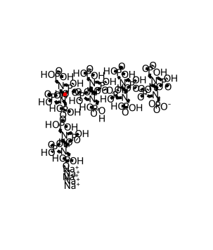 O=P(O)(O)CN(CCN(CP(=O)(O)O)CP(=O)(O)O)CP(=O)(O)O.O=P(O)(O)CN(CCN(CP(=O)(O)O)CP(=O)(O)O)CP(=O)(O)O.O=P(O)(O)CN(CCN(CP(=O)(O)O)CP(=O)(O)O)CP(=O)(O)O.O=P(O)(O)CN(CCN(CP(=O)(O)O)CP(=O)(O)O)CP(=O)(O)O.O=P([O-])([O-])CN(CCN(CP(=O)([O-])O)CP(=O)(O)O)CP(=O)([O-])[O-].[Na+].[Na+].[Na+].[Na+].[Na+]